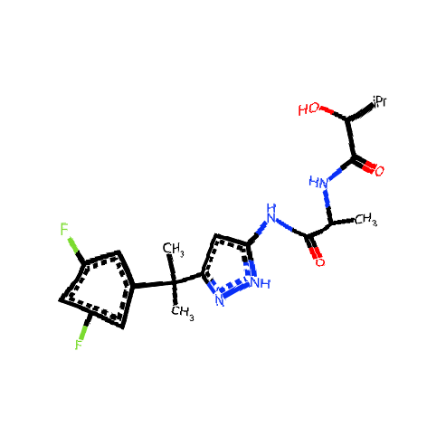 CC(NC(=O)C(O)C(C)C)C(=O)Nc1cc(C(C)(C)c2cc(F)cc(F)c2)n[nH]1